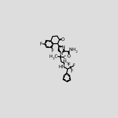 CC(C)(CCNC(c1ccccc1)C(F)(F)F)n1cc(C2C(=O)CCc3cc(F)cc(F)c32)nc1C(N)=O